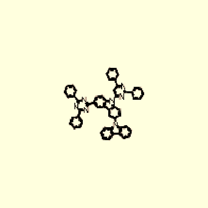 c1ccc(-c2cc(-n3c4ccc(-c5nc(-c6ccccc6)nc(-c6ccccc6)n5)cc4c4cc(-n5c6ccccc6c6ccccc65)ccc43)nc(-c3ccccc3)n2)cc1